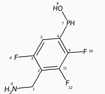 NCc1c(F)cc(PO)c(F)c1F